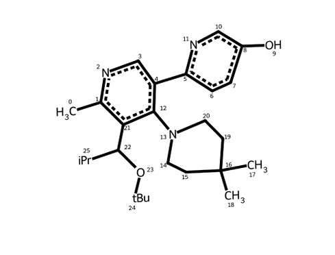 Cc1ncc(-c2ccc(O)cn2)c(N2CCC(C)(C)CC2)c1C(OC(C)(C)C)C(C)C